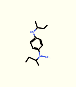 CCC(C)Nc1ccc(N(N)C(C)CC)cc1